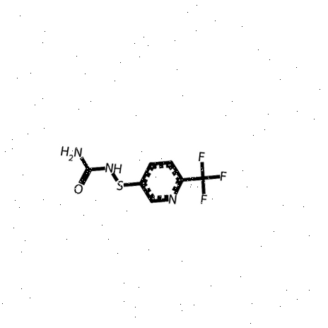 NC(=O)NSc1ccc(C(F)(F)F)nc1